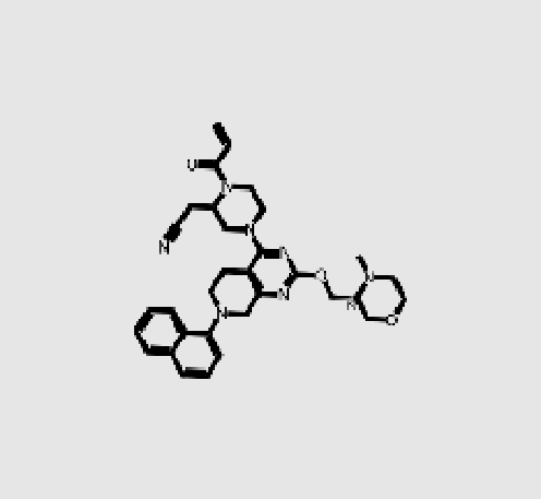 C=CC(=O)N1CCN(c2nc(OC[C@@H]3COCCN3C)nc3c2CCN(c2cccc4ccccc24)C3)CC1CC#N